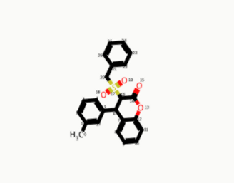 Cc1cccc(C2c3ccccc3OC(=O)C2S(=O)(=O)Cc2ccccc2)c1